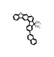 CC1(C)c2cc(-c3ccc4ccccc4c3)ccc2-c2c1ccc1cc3sc4ccccc4c3cc21